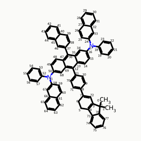 CC1(C)C2=C(CCC(c3ccc(-c4c5ccc(N(c6ccccc6)c6ccc7ccccc7c6)cc5c(-c5ccc6ccccc6c5)c5ccc(N(c6ccccc6)c6ccc7ccccc7c6)cc45)cc3)=C2)c2ccccc21